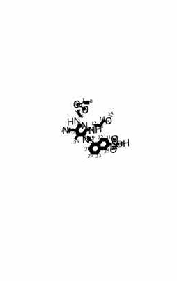 C=CS(=O)(=O)CCNc1nc(NCCCOC)c(/N=N/c2cccc3cc(S(=O)(=O)O)ccc23)c(C)c1C#N